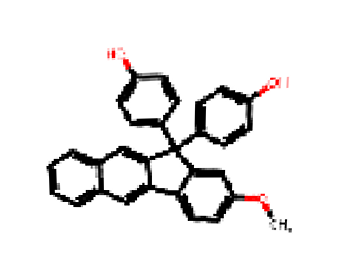 COc1ccc2c(c1)C(c1ccc(O)cc1)(c1ccc(O)cc1)c1cc3ccccc3cc1-2